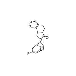 O=C1C2CCc3ccccc3C2CN1C1C2CC3CC1CC(F)(C3)C2